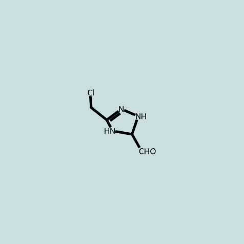 O=CC1NN=C(CCl)N1